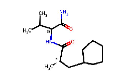 CC(C)[C@H](NC(=O)[C@@H](C)CC1CCCCC1)C(N)=O